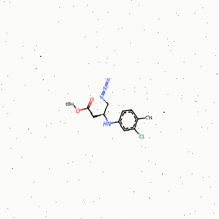 CC(C)(C)OC(=O)C[C@@H](CN=[N+]=[N-])Nc1ccc(C#N)c(Cl)c1